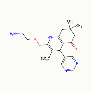 CCOC(=O)C1=C(COCCN)NC2=C(C(=O)CC(C)(C)C2)C1c1cncnc1